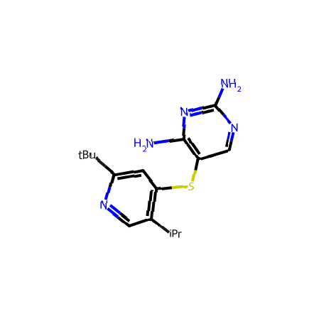 CC(C)c1cnc(C(C)(C)C)cc1Sc1cnc(N)nc1N